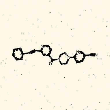 N#Cc1ccc(N2CCN(C(=O)c3ccnc(C#Cc4ccccc4)c3)CC2)nc1